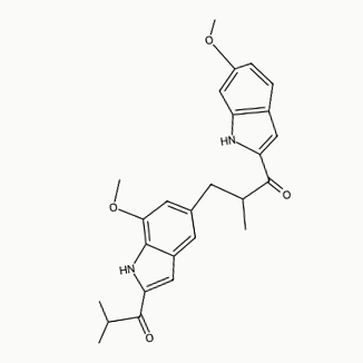 COc1ccc2cc(C(=O)C(C)Cc3cc(OC)c4[nH]c(C(=O)C(C)C)cc4c3)[nH]c2c1